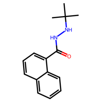 CC(C)(C)NNC(=O)c1cccc2ccccc12